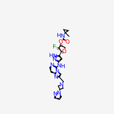 CC1(NC(=O)O[C@H]2CO[C@@H](c3cc(Nc4nccc5nc(CN6CC(n7cccn7)C6)cn45)n[nH]3)[C@@H]2F)CC1